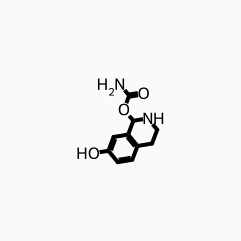 NC(=O)OC1NCCc2ccc(O)cc21